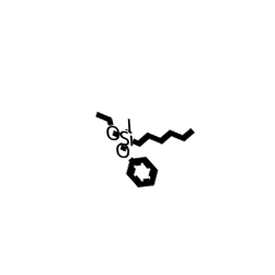 CCCCCC[Si](I)(OCC)Oc1ccccc1